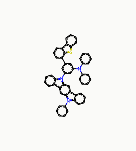 c1ccc(N(c2ccccc2)c2cc(-c3cccc4c3sc3ccccc34)cc(-n3c4ccccc4c4cc5c(cc43)c3ccccc3n5-c3ccccc3)c2)cc1